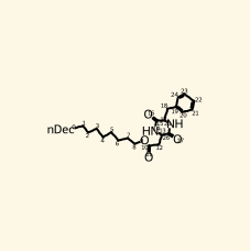 CCCCCCCCCCCCCCCCCCOC(=O)CC1NC(=O)C(Cc2ccccc2)NC1=O